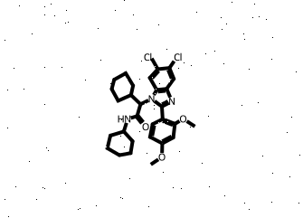 COc1ccc(-c2nc3cc(Cl)c(Cl)cc3n2C(C(=O)NC2CCCCC2)C2CCCCC2)c(OC)c1